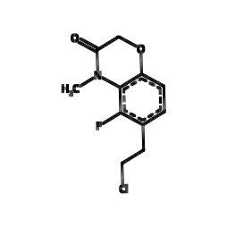 CN1C(=O)COc2ccc(CCCl)c(F)c21